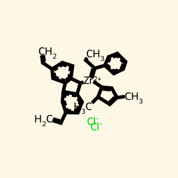 C=Cc1ccc2c(c1)-c1cc(C=C)ccc1[CH]2/[Zr+2]([C]1=CC(C)=CC1C)=[C](\CC)c1ccccc1.[Cl-].[Cl-]